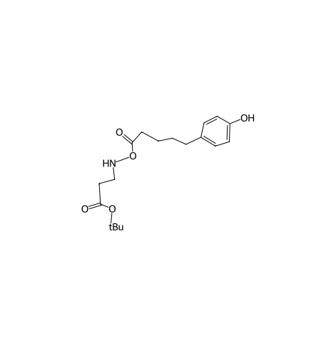 CC(C)(C)OC(=O)CCNOC(=O)CCCCc1ccc(O)cc1